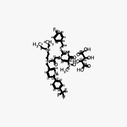 CCN(CC)CCN(Cc1ccc(-c2ccc(C(F)(F)F)cc2)nc1)C(=O)Cn1cc([S+](C)[O-])c(=O)nc1SCc1ccc(F)cc1.O=C(O)C(O)C(O)C(=O)O